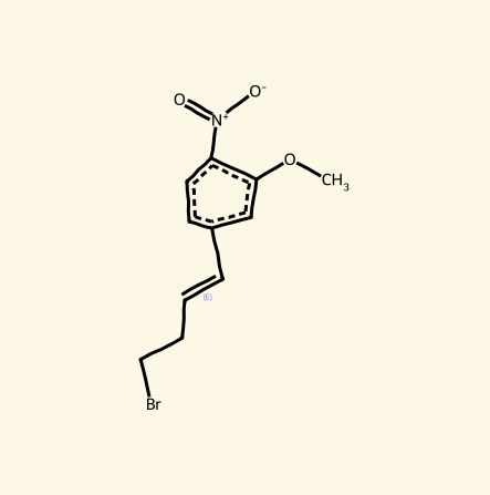 COc1cc(/C=C/CCBr)ccc1[N+](=O)[O-]